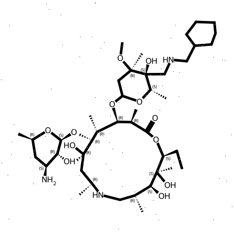 CC[C@@H]1OC(=O)[C@H](C)[C@H](OC2C[C@@](C)(OC)[C@](O)(CNCC3CCCCC3)[C@H](C)O2)[C@@H](C)[C@@H](O[C@@H]2O[C@H](C)C[C@H](N)[C@H]2O)[C@](C)(O)C[C@@H](C)NC[C@@H](C)[C@H](O)[C@]1(C)O